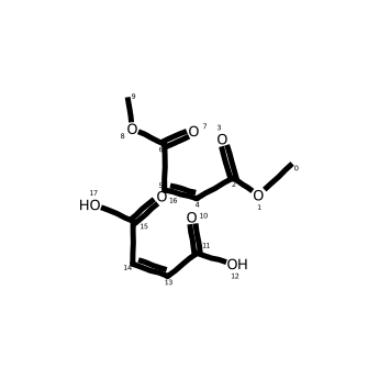 COC(=O)/C=C\C(=O)OC.O=C(O)/C=C\C(=O)O